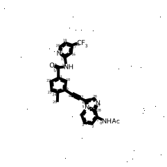 CC(=O)Nc1cccn2c(C#Cc3cc(C(=O)Nc4cc(C(F)(F)F)ccn4)ccc3C)cnc12